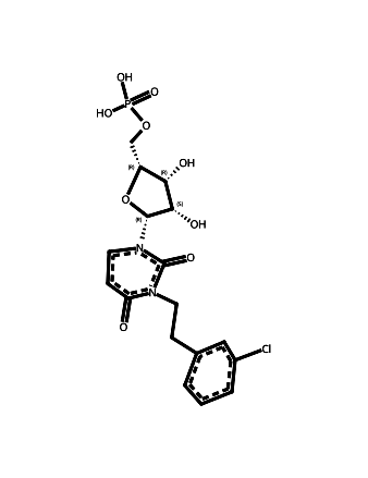 O=c1ccn([C@@H]2O[C@H](COP(=O)(O)O)[C@H](O)[C@@H]2O)c(=O)n1CCc1cccc(Cl)c1